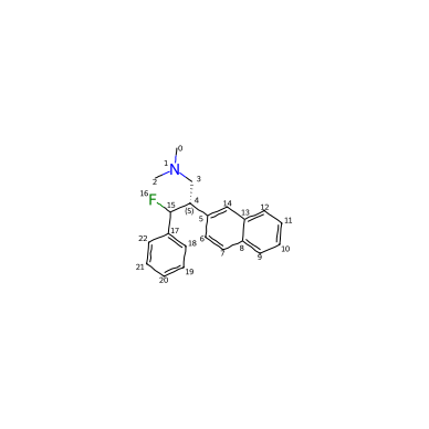 CN(C)C[C@H](c1ccc2ccccc2c1)C(F)c1ccccc1